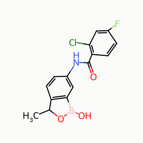 CC1OB(O)c2cc(NC(=O)c3ccc(F)cc3Cl)ccc21